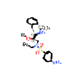 CCO[C@H](CN(CC(C)C)S(=O)(=O)c1ccc(N)cc1)[C@H](Cc1ccccc1)NC(=O)O